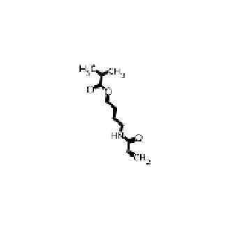 C=CC(=O)NCCCCOC(=O)C(C)C